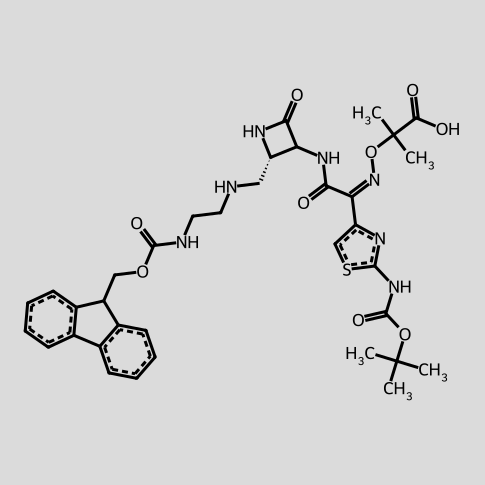 CC(C)(C)OC(=O)Nc1nc(/C(=N/OC(C)(C)C(=O)O)C(=O)NC2C(=O)N[C@H]2CNCCNC(=O)OCC2c3ccccc3-c3ccccc32)cs1